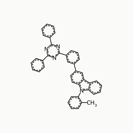 Cc1ccccc1-n1c2ccccc2c2cc(-c3cccc(-c4nc(-c5ccccc5)nc(-c5ccccc5)n4)c3)ccc21